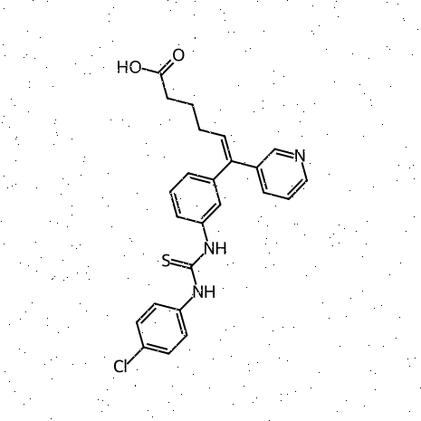 O=C(O)CCCC=C(c1cccnc1)c1cccc(NC(=S)Nc2ccc(Cl)cc2)c1